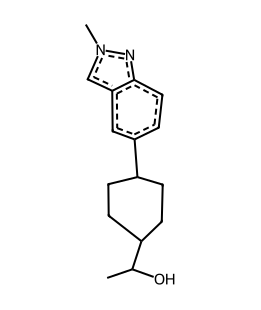 CC(O)C1CCC(c2ccc3nn(C)cc3c2)CC1